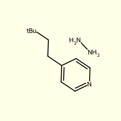 CC(C)(C)CCc1ccncc1.NN